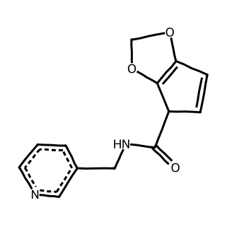 O=C(NCc1cccnc1)C1C=CC2=C1OCO2